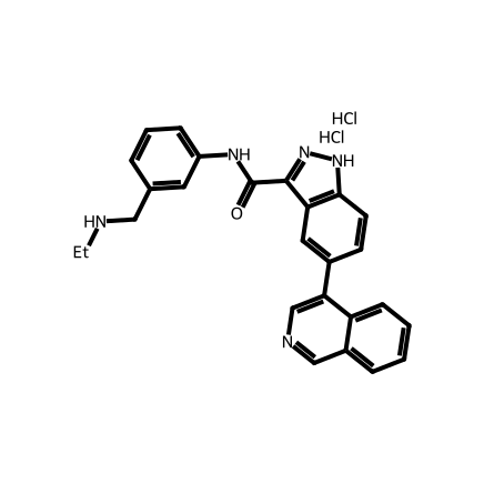 CCNCc1cccc(NC(=O)c2n[nH]c3ccc(-c4cncc5ccccc45)cc23)c1.Cl.Cl